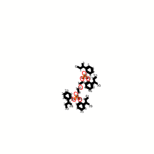 CCC(C)c1ccccc1OP(OCCOCCOP(Oc1ccccc1C(C)CC)Oc1ccccc1C(C)CC)Oc1ccccc1C(C)CC